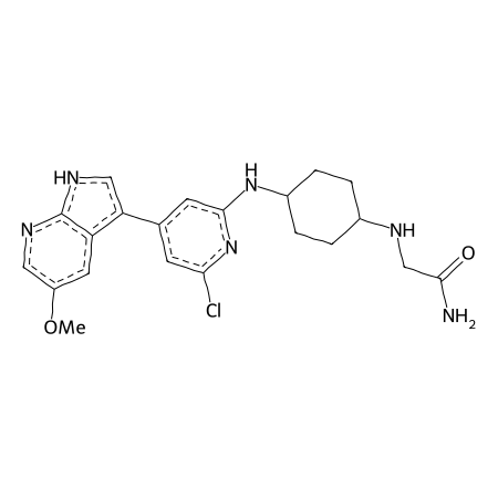 COc1cnc2[nH]cc(-c3cc(Cl)nc(NC4CCC(NCC(N)=O)CC4)c3)c2c1